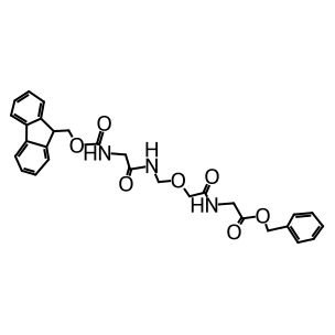 O=C(CNC(=O)OCC1c2ccccc2-c2ccccc21)NCOCC(=O)NCC(=O)OCc1ccccc1